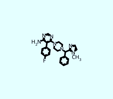 Cn1ccnc1C(c1ccccc1)N1CCN(c2ncnc(N)c2-c2ccc(F)cc2)CC1